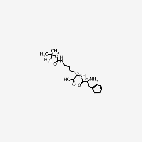 CC(C)(C)OC(=O)NCCCC[C@H](NC(=O)[C@@H](N)Cc1ccccc1)C(=O)O